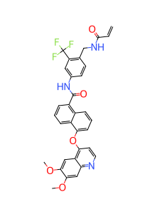 C=CC(=O)NCc1ccc(NC(=O)c2cccc3c(Oc4ccnc5cc(OC)c(OC)cc45)cccc23)cc1C(F)(F)F